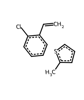 C=Cc1ccccc1Cl.Cc1cccs1